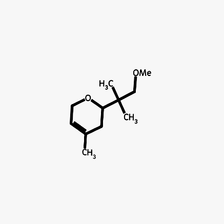 COCC(C)(C)C1CC(C)=CCO1